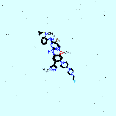 COc1cc(N2CCC(N3CCN(CCF)CC3)CC2)c(-c2cnn(C)c2)cc1Nc1ncc(Br)c(Nc2ccccc2N(C)SC2CC2)n1